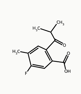 Cc1cc(C(=O)C(C)C)c(C(=O)O)cc1F